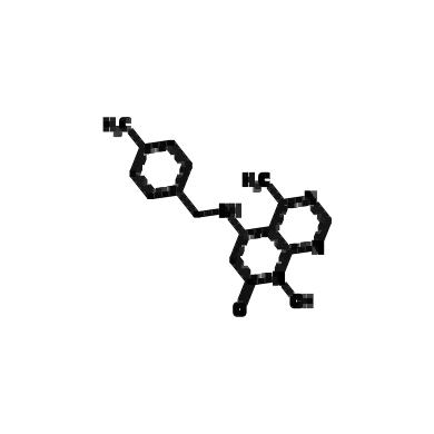 Cc1ccc(CNc2cc(=O)n(O)c3ncnc(C)c23)cc1